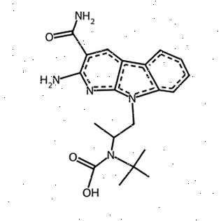 CC(Cn1c2ccccc2c2cc(C(N)=O)c(N)nc21)N(C(=O)O)C(C)(C)C